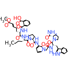 CCCC[C@H](NC(=O)[C@H](CC/C=C/C(=O)OC)NC(=O)c1ccccc1C(=O)O)C(=O)N1CCC[C@H]1C(=O)Nc1cccn(CC(=O)N[C@@H](Cc2c[nH]c3ccccc23)C(=O)N2CCC[C@H]2C(N)=O)c1=O